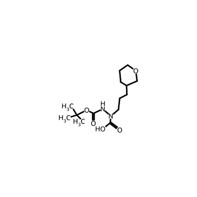 CC(C)(C)OC(=O)NN(CCCC1CCCOC1)C(=O)O